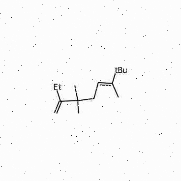 C=C(CC)C(C)(C)CC=C(C)C(C)(C)C